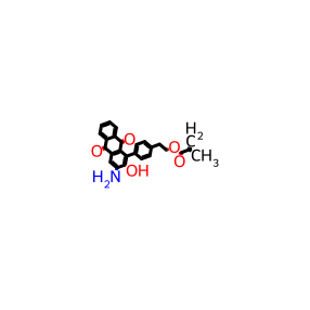 C=C(C)C(=O)OCCc1ccc(-c2c(O)c(N)cc3c2C(=O)c2ccccc2C3=O)cc1